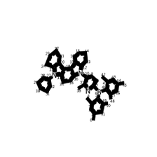 Cc1cc(C)c(B(c2ccc(-n3c4ccccc4c4c5c6ccccc6n(-c6ccccc6)c5ccc43)c(C)n2)c2c(C)cc(C)cc2C)c(C)c1